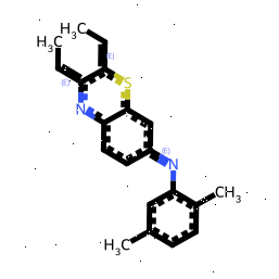 C/C=c1/nc2cc/c(=N\c3cc(C)ccc3C)cc-2s/c1=C/C